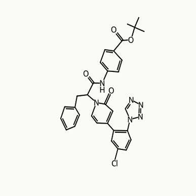 CC(C)(C)OC(=O)c1ccc(NC(=O)C(Cc2ccccc2)n2ccc(-c3cc(Cl)ccc3-n3cnnn3)cc2=O)cc1